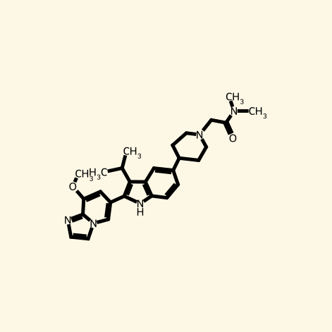 COc1cc(-c2[nH]c3ccc(C4CCN(CC(=O)N(C)C)CC4)cc3c2C(C)C)cn2ccnc12